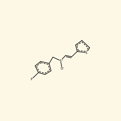 [O-][S+](/C=C/c1cccs1)Cc1ccc(F)cc1